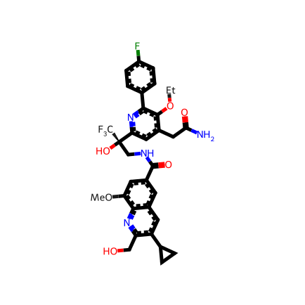 CCOc1c(CC(N)=O)cc([C@@](O)(CNC(=O)c2cc(OC)c3nc(CO)c(C4CC4)cc3c2)C(F)(F)F)nc1-c1ccc(F)cc1